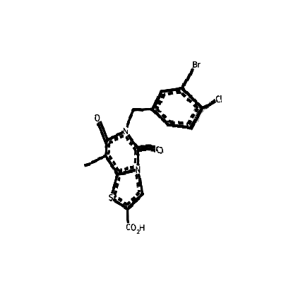 Cc1c(=O)n(Cc2ccc(Cl)c(Br)c2)c(=O)n2cc(C(=O)O)sc12